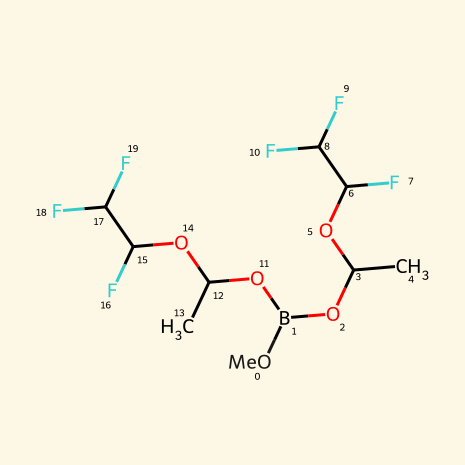 COB(OC(C)OC(F)C(F)F)OC(C)OC(F)C(F)F